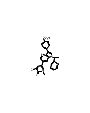 CC(c1ccccn1)n1cc(-c2ccc(C(=O)O)cc2)c2ncc(-c3cc(Cl)c(=O)n(C)c3)cc21